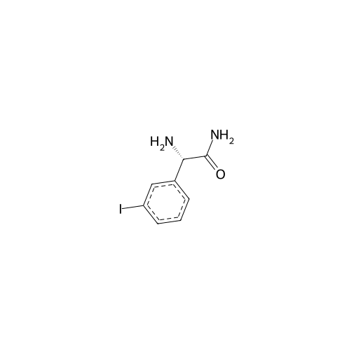 NC(=O)[C@@H](N)c1cccc(I)c1